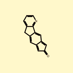 O=C1C=c2cc3c(cc2=C1)-c1ncccc1C3